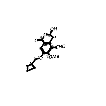 COc1c(OCC2CCC2)cc2c(c1C=O)CC(O)OC2=O